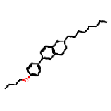 CCCCCCCCC1CCc2cc(-c3ccc(OCCCC)cc3)ccc2C1